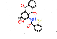 CCO.O=C(Nc1cccc2c1C(=O)c1ccccc1C2=O)c1ccccc1S